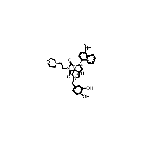 CN(C)c1ccc([C@@H]2C[C@H]3CN(Cc4ccc(O)c(O)c4)CC34C(=O)N(CCN3CCOCC3)C(=O)N24)c2ccccc12